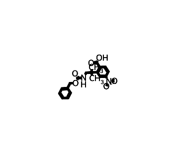 CC(C)(CNC(=O)OCc1ccccc1)c1cc([N+](=O)[O-])ccc1C(=O)O